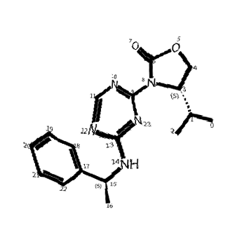 CC(C)[C@H]1COC(=O)N1c1ncnc(N[C@@H](C)c2ccccc2)n1